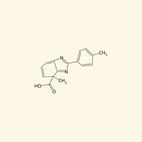 Cc1ccc(C2=NC3=CC=CC(C)(C(=O)O)C3=N2)cc1